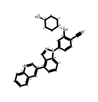 N#Cc1ccc(-n2ncc3c(-c4cnc5ccccc5c4)cccc32)cc1N[C@H]1CC[C@H](O)CC1